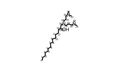 CCCCCCCCCCCCCCC(O)CN(CCCN(C)C)CCCN(C)C